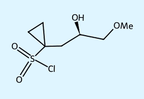 COC[C@H](O)CC1(S(=O)(=O)Cl)CC1